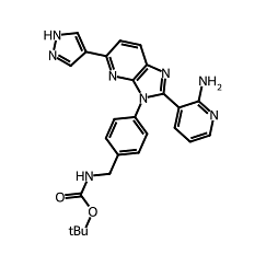 CC(C)(C)OC(=O)NCc1ccc(-n2c(-c3cccnc3N)nc3ccc(-c4cn[nH]c4)nc32)cc1